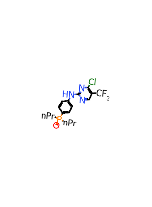 CCCP(=O)(CCC)c1ccc(Nc2ncc(C(F)(F)F)c(Cl)n2)cc1